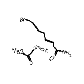 CCCCCC(=O)OC.NC(=O)CCCCCBr